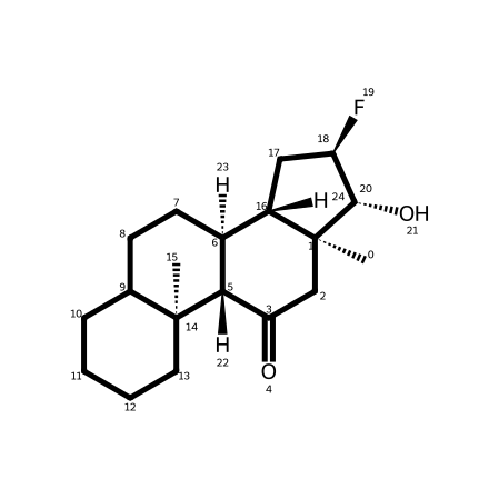 C[C@]12CC(=O)[C@H]3[C@@H](CCC4CCCC[C@@]43C)[C@@H]1C[C@@H](F)[C@@H]2O